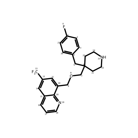 Fc1ccc(CC2(COCc3cc(C(F)(F)F)cc4cccnc34)CCNCC2)cc1